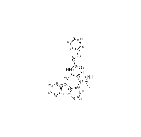 CC(=N)N1C(=N)C(NC(=O)OCc2ccccc2)N=C(c2ccccc2)c2ccccc21